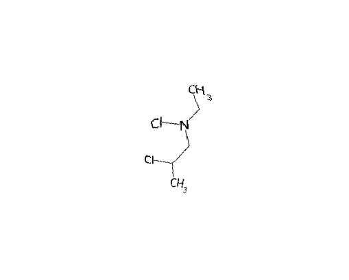 CCN(Cl)CC(C)Cl